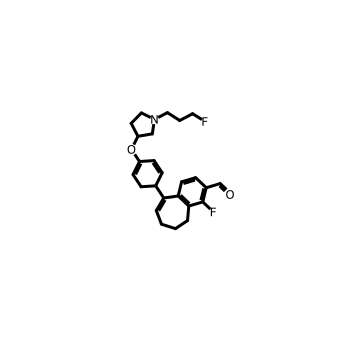 O=Cc1ccc2c(c1F)CCCC=C2C1C=CC(OC2CCN(CCCF)C2)=CC1